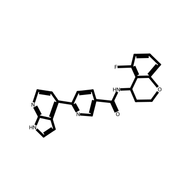 O=C(NC1CCOc2cccc(F)c21)c1ccc(-c2ccnc3[nH]ccc23)nc1